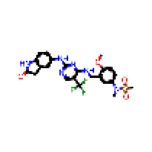 COc1ccc(N(C)S(C)(=O)=O)cc1CNc1nc(Nc2ccc3c(c2)CC(=O)N3)ncc1C(F)(F)F